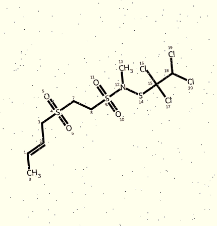 CC=CCS(=O)(=O)CCS(=O)(=O)N(C)SC(Cl)(Cl)C(Cl)Cl